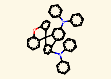 c1ccc(N(c2ccccc2)c2ccc3c(c2)C2(c4ccccc4Oc4ccccc42)c2cccc(N(c4ccccc4)c4ccccc4)c2-3)cc1